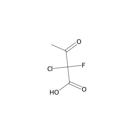 CC(=O)C(F)(Cl)C(=O)O